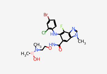 CB(O)N(C)CCONC(=O)c1cc2c(ncn2C)c(F)c1Nc1ccc(Br)cc1Cl